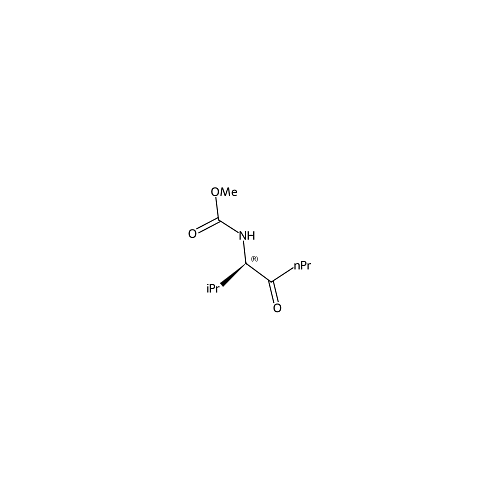 CCCC(=O)[C@H](NC(=O)OC)C(C)C